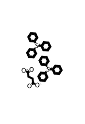 O=C([O-])CCC(=O)[O-].c1ccc([S+](c2ccccc2)c2ccccc2)cc1.c1ccc([S+](c2ccccc2)c2ccccc2)cc1